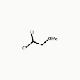 CO[CH]C(Cl)Cl